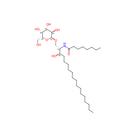 CCCCCCCCCCCCCCC[C@@H](O)[C@H](CO[C@H]1O[C@H](CO)[C@H](O)[C@H](O)[C@H]1O)NC(=O)CCCCCCC